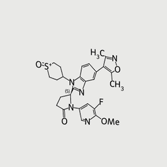 COc1ncc(N2C(=O)CC[C@H]2c2nc3cc(-c4c(C)noc4C)ccc3n2C2CC[S+]([O-])CC2)cc1F